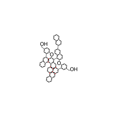 OCc1ccc(Oc2ccc3cc(-c4ccc5ccccc5c4)ccc3c2-c2c(Oc3ccc(CO)cc3-c3ccc4ccccc4c3)ccc3cc(-c4ccc5ccccc5c4)ccc23)c(-c2ccc3ccccc3c2)c1